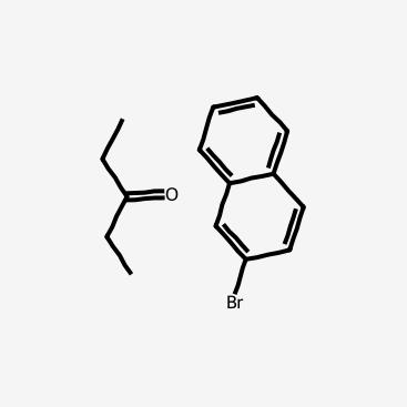 Brc1ccc2ccccc2c1.CCC(=O)CC